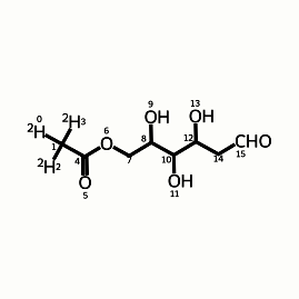 [2H]C([2H])([2H])C(=O)OCC(O)C(O)C(O)CC=O